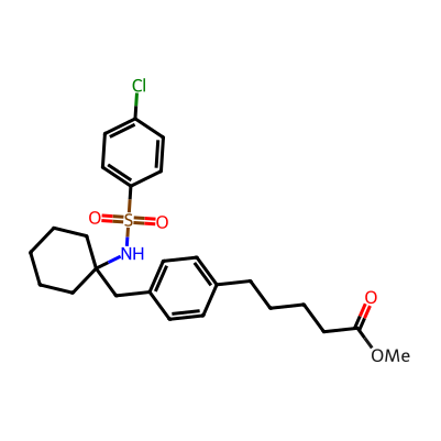 COC(=O)CCCCc1ccc(CC2(NS(=O)(=O)c3ccc(Cl)cc3)CCCCC2)cc1